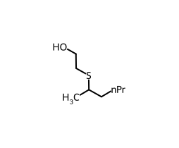 CCCCC(C)SCCO